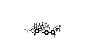 CC(C)Oc1ccc([C@@H](Cc2ccc(-c3cc(F)cc(OC(F)(F)C(F)F)c3)cc2)N[S@+]([O-])C(C)(C)C)cc1F